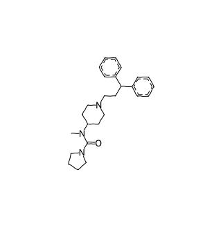 CN(C(=O)N1CCCC1)C1CCN(CCC(c2ccccc2)c2ccccc2)CC1